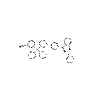 N#Cc1ccc2c(c1)C(C1=CC=CCC1)(c1ccccc1)c1cc(-c3ccc(-c4nc(C5=CC=CCC5)nc5ccccc45)cc3)ccc1-2